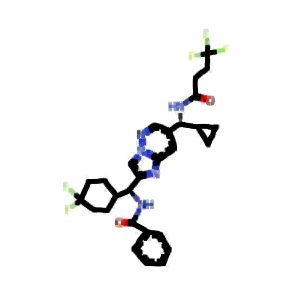 O=C(CCC(F)(F)F)N[C@@H](c1cnn2cc([C@@H](NC(=O)c3ccccc3)C3CCC(F)(F)CC3)nc2c1)C1CC1